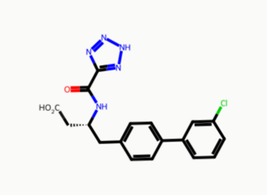 O=C(O)C[C@@H](Cc1ccc(-c2cccc(Cl)c2)cc1)NC(=O)c1nn[nH]n1